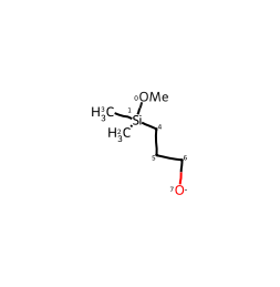 CO[Si](C)(C)CCC[O]